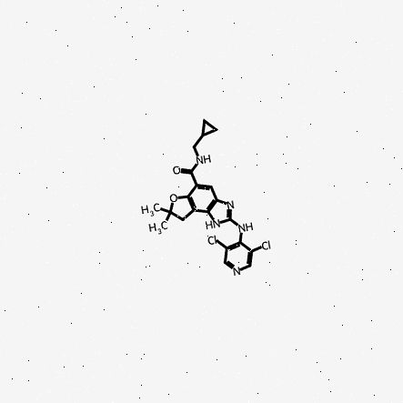 CC1(C)Cc2c(c(C(=O)NCC3CC3)cc3nc(Nc4c(Cl)cncc4Cl)[nH]c23)O1